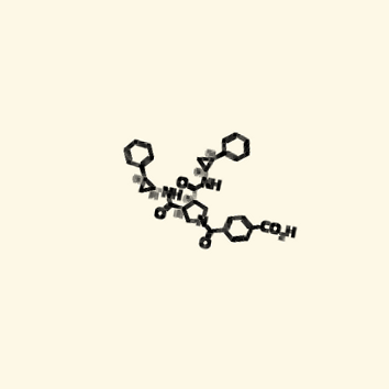 O=C(O)c1ccc(C(=O)N2C[C@@H](C(=O)N[C@@H]3C[C@H]3c3ccccc3)[C@H](C(=O)N[C@@H]3C[C@H]3c3ccccc3)C2)cc1